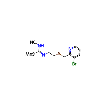 CSC(=NCCSCc1ncccc1Br)NC#N